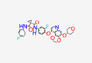 O=C(Nc1ccc(Oc2ccnc3cc(OC4CCOCC4)c4c(c23)OCCO4)c(F)c1)C1(C(=O)NC2C=CC(F)=CC2)CC1